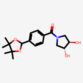 CC1(C)OC(c2ccc(C(=O)N3C[C@@H](O)[C@H](O)C3)cc2)OC1(C)C